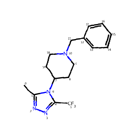 Cc1nnc(C(F)(F)F)n1C1CCN(Cc2ccccc2)CC1